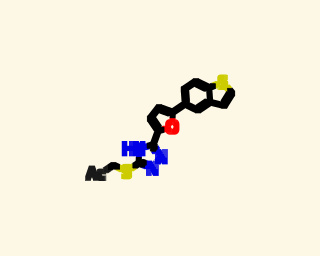 CC(=O)CSc1nnc(-c2ccc(-c3ccc4sccc4c3)o2)[nH]1